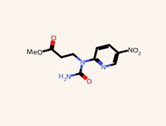 COC(=O)CCN(C(N)=O)c1ccc([N+](=O)[O-])cn1